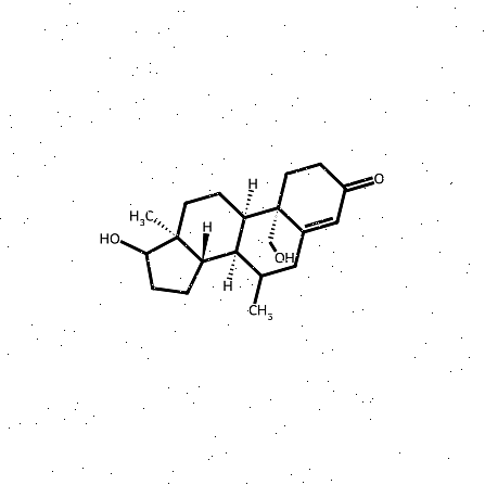 CC1CC2=CC(=O)CC[C@]2(CO)[C@@H]2CC[C@]3(C)C(O)CC[C@H]3[C@H]12